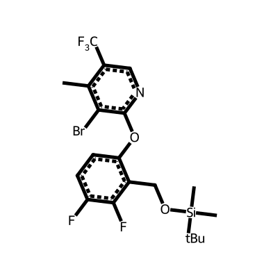 Cc1c(C(F)(F)F)cnc(Oc2ccc(F)c(F)c2CO[Si](C)(C)C(C)(C)C)c1Br